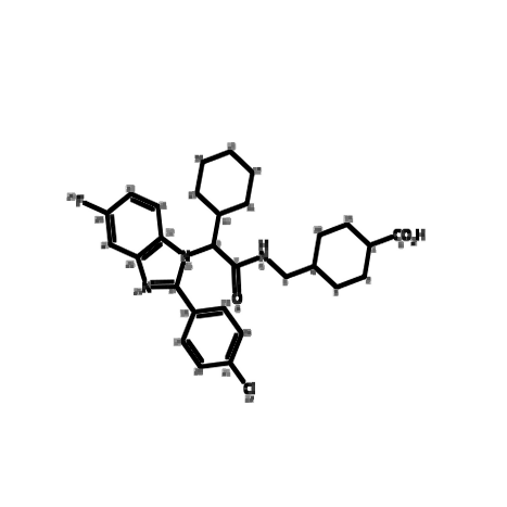 O=C(O)C1CCC(CNC(=O)C(C2CCCCC2)n2c(-c3ccc(Cl)cc3)nc3cc(F)ccc32)CC1